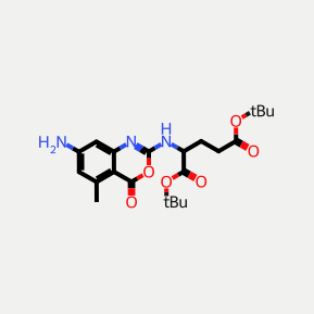 Cc1cc(N)cc2nc(NC(CCC(=O)OC(C)(C)C)C(=O)OC(C)(C)C)oc(=O)c12